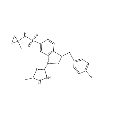 CC1NNC(N2CC(Cc3ccc(F)cc3)c3ccc(S(=O)(=O)NC4(C)CC4)cc32)S1